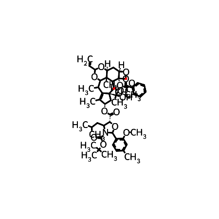 C=CC1OC2C(C)C3=C(C)[C@@H](OC(=O)[C@@H]4OC(c5ccc(C)cc5OC)N(C(=O)OC(C)(C)C)C4CC(C)C)C[C@@]3(C(C)(C)O)[C@@H](OC(=O)c3ccccc3)[C@@H]3[C@]4(OC(C)=O)CO[C@@H]4C[C@H](O1)[C@@]23C